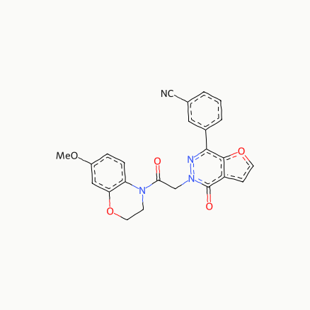 COc1ccc2c(c1)OCCN2C(=O)Cn1nc(-c2cccc(C#N)c2)c2occc2c1=O